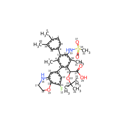 Cc1ccc(-c2c(C)c(-c3cc(F)c4c(c3)NCCO4)c(C(OC(C)(C)C)C(=O)O)c(C)c2NS(C)(=O)=O)cc1C